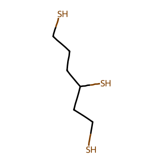 SCCCC(S)CCS